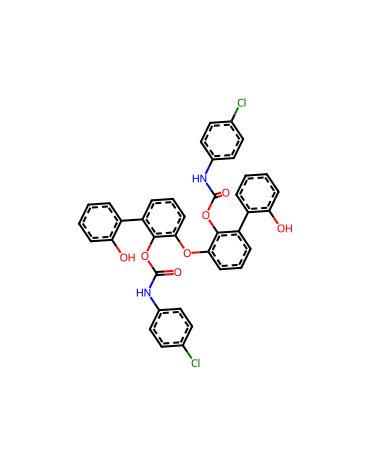 O=C(Nc1ccc(Cl)cc1)Oc1c(Oc2cccc(-c3ccccc3O)c2OC(=O)Nc2ccc(Cl)cc2)cccc1-c1ccccc1O